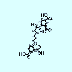 O=C(O)c1ccc(OCCCCCC(S)Sc2ccc(C(=O)O)cc2C(=O)O)c(C(=O)O)c1